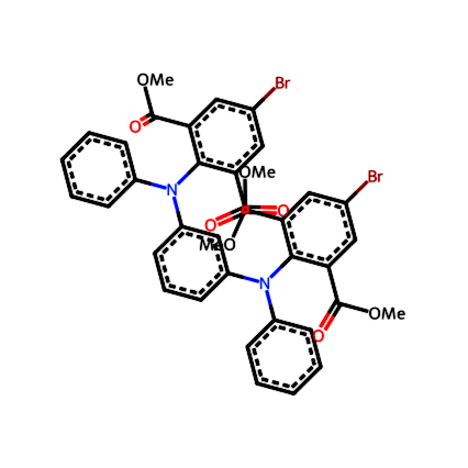 COC(=O)c1cc(Br)cc(C(=O)OC)c1N(c1ccccc1)c1cccc(N(c2ccccc2)c2c(C(=O)OC)cc(Br)cc2C(=O)OC)c1